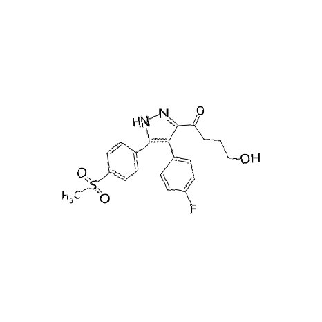 CS(=O)(=O)c1ccc(-c2[nH]nc(C(=O)CCCO)c2-c2ccc(F)cc2)cc1